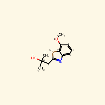 COc1cccc2nc(CC(C)(C)O)sc12